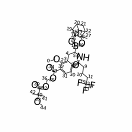 COc1c(CC(NC(=O)CCCC(F)(F)F)B2OC3CC4CC(C4(C)C)C3(C)O2)cccc1C(=O)OCOC(=O)C(C)(C)OC